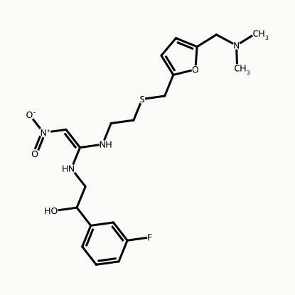 CN(C)Cc1ccc(CSCCN/C(=C/[N+](=O)[O-])NCC(O)c2cccc(F)c2)o1